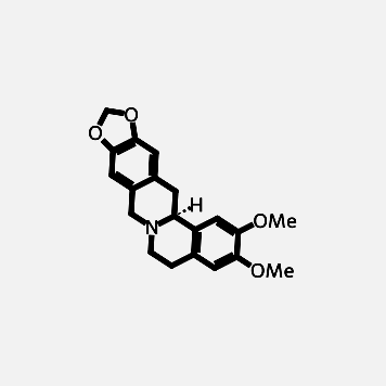 COc1cc2c(cc1OC)[C@@H]1Cc3cc4c(cc3CN1CC2)OCO4